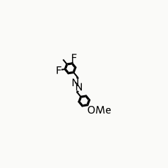 COc1ccc(C=NN=Cc2cc(F)c(C)c(F)c2)cc1